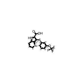 O=C(O)c1[nH]c2cccnc2c1Sc1cccc(OC(F)(F)F)c1